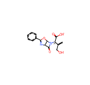 C=C(CO)[C@H](C(=O)O)N1C(=O)C2N=C(c3ccccc3)OC21